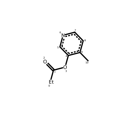 CCC(=O)Oc1cnccc1C